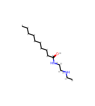 CCCCCCCCCC(=O)NCCNCC